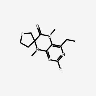 CCc1nc(Cl)nc2c1N(C)C(=O)C1(CCOC1)N2C